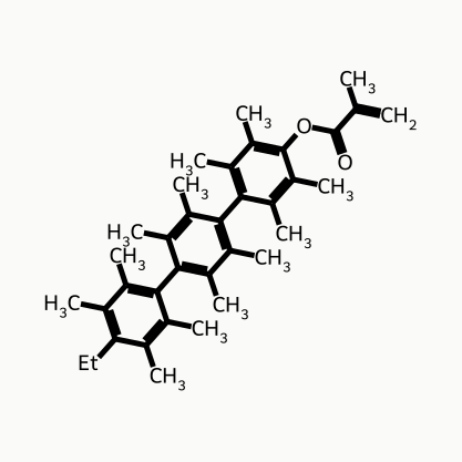 C=C(C)C(=O)Oc1c(C)c(C)c(-c2c(C)c(C)c(-c3c(C)c(C)c(CC)c(C)c3C)c(C)c2C)c(C)c1C